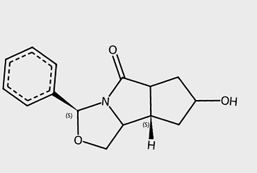 O=C1C2CC(O)C[C@@H]2C2CO[C@@H](c3ccccc3)N12